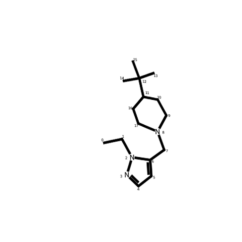 CCn1nccc1CN1CCC(C(C)(C)C)CC1